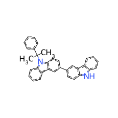 CC(C)(c1ccccc1)n1c2ccccc2c2cc(-c3ccc4[nH]c5ccccc5c4c3)ccc21